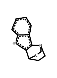 c1ccc2c3c([nH]c2c1)C1CCN3CC1